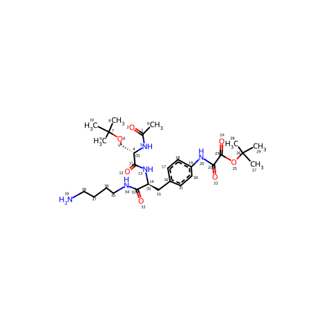 CC(=O)N[C@@H](COC(C)(C)C)C(=O)N[C@@H](Cc1ccc(NC(=O)C(=O)OC(C)(C)C)cc1)C(=O)NCCCCN